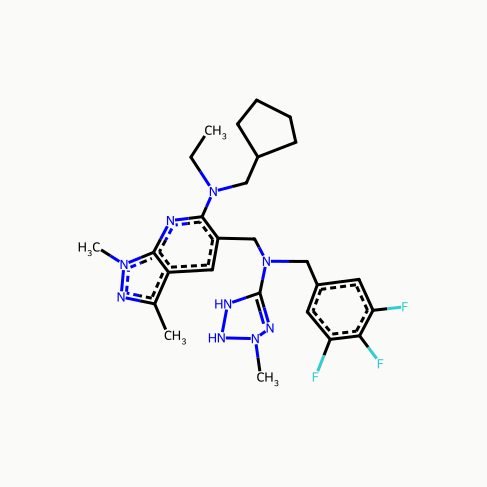 CCN(CC1CCCC1)c1nc2c(cc1CN(Cc1cc(F)c(F)c(F)c1)C1=NN(C)NN1)c(C)nn2C